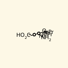 CCCN(CCC)C(=O)C1=Cc2ccc(-c3ccc(CCC(=O)O)cc3)cc2N=C(N)C1